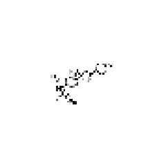 Cc1cc(C2(C(F)(F)F)CC(c3ccc(Cl)cc3)=NO2)ccc1NC(=O)OC(C)(C)C